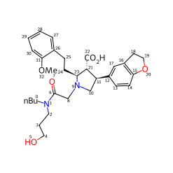 CCCCN(CCCO)C(=O)CN1C[C@H](c2ccc3c(c2)CCO3)[C@@H](C(=O)O)[C@@H]1CCc1ccccc1OC